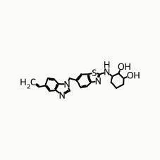 C=Cc1ccc2c(c1)ncn2Cc1ccc2nc(NC3CCCC(O)C3O)sc2c1